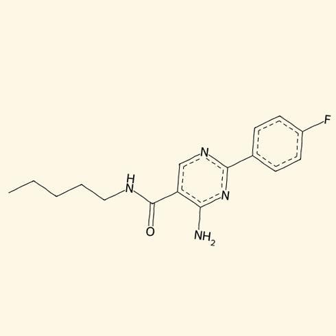 CCCCCNC(=O)c1cnc(-c2ccc(F)cc2)nc1N